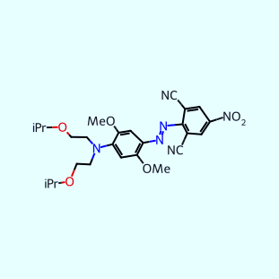 COc1cc(N(CCOC(C)C)CCOC(C)C)c(OC)cc1N=Nc1c(C#N)cc([N+](=O)[O-])cc1C#N